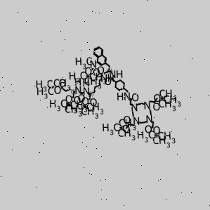 CN(C(=O)OC(C)(C)C)c1cc(C[C@@H](NC(=O)C2CCC(CNC(=O)CN3CCN(CC(=O)OC(C)(C)C)CCN(CC(=O)OC(C)(C)C)CCN(CC(=O)OC(C)(C)C)CC3)CC2)C(=O)NCCCC[C@H](NC(=O)N[C@@H](CCC(=O)OC(C)(C)C)C(=O)OC(C)(C)C)C(=O)OC(C)(C)C)cc2ccccc12